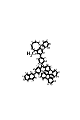 C=C1/C=C\C=C/CN(c2ccccc2)c2ccc(-c3ccc(N(c4ccc(-c5ccc6ccccc6c5)cc4)c4ccc5c(c4)C4(c6ccccc6-c6ccccc64)c4ccccc4-5)cc3)cc21